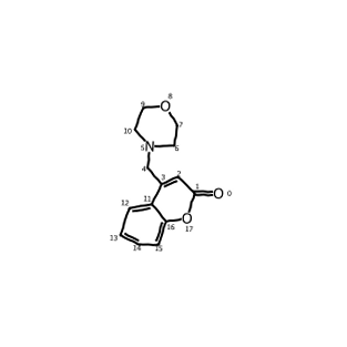 O=c1cc(CN2CCOCC2)c2ccccc2o1